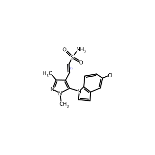 Cc1nn(C)c(-n2ccc3cc(Cl)ccc32)c1/C=C/S(N)(=O)=O